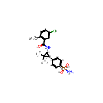 COc1ccc(Cl)cc1C(=O)N[C@@H]1[C@@H](c2ccc(S(N)(=O)=O)cc2)C1(C)C